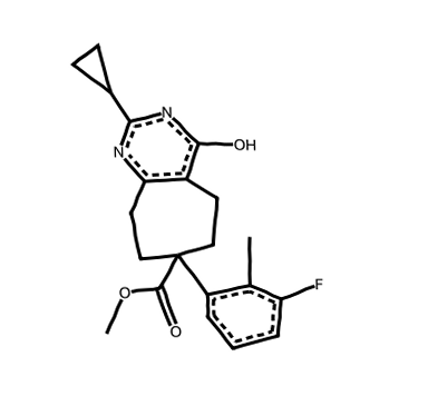 COC(=O)C1(c2cccc(F)c2C)CCc2nc(C3CC3)nc(O)c2CC1